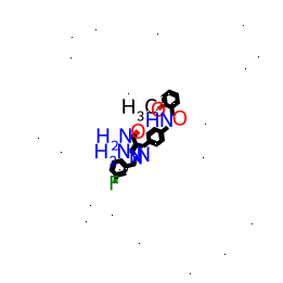 COc1ccccc1C(=O)NCc1ccc(-c2nn(Cc3cccc(F)c3)c(N)c2C(N)=O)cc1